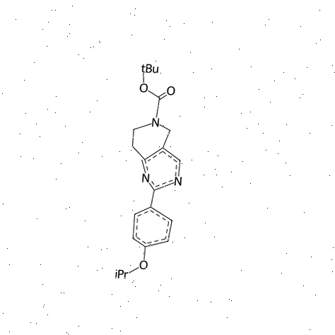 CC(C)Oc1ccc(-c2ncc3c(n2)CCN(C(=O)OC(C)(C)C)C3)cc1